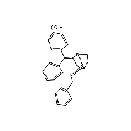 O=C(O)c1ccc(C(c2ccccc2)C2C(=NCc3ccccc3)C3CCN2CC3)cc1